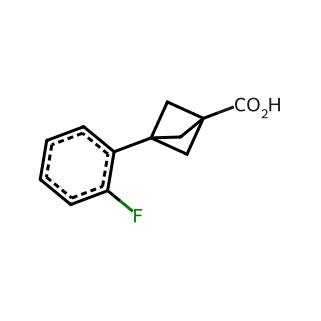 O=C(O)C12CC(c3ccccc3F)(C1)C2